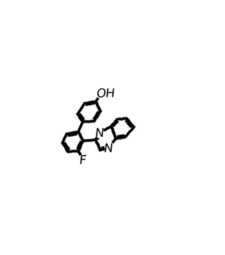 Oc1ccc(-c2cccc(F)c2-c2cnc3ccccc3n2)cc1